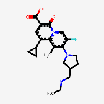 CCNCC1CCN(c2c(F)cn3c(=O)c(C(=O)O)cc(C4CC4)c3c2C)C1